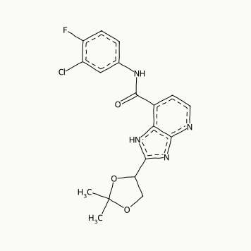 CC1(C)OCC(c2nc3nccc(C(=O)Nc4ccc(F)c(Cl)c4)c3[nH]2)O1